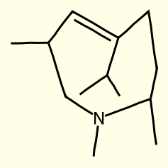 CC1/C=C(\C(C)C)CCC(C)N(C)C1